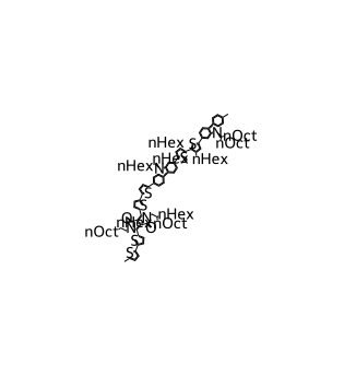 CCCCCCCCC(CCCCCC)CN1C(=O)C2=C(c3ccc(-c4ccc(-c5ccc6c7ccc(-c8cc(CCCCCC)c(-c9sc(-c%10ccc%11c%12ccc(C)cc%12n(C(CCCCCCCC)CCCCCCCC)c%11c%10)cc9CCCCCC)s8)cc7n(C(CCCCCC)CCCCCC)c6c5)s4)s3)N(CC(CCCCCC)CCCCCCCC)C(=O)C2=C1c1ccc(-c2ccc(C)s2)s1